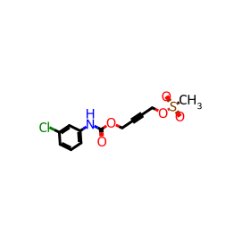 CS(=O)(=O)OCC#CCOC(=O)Nc1cccc(Cl)c1